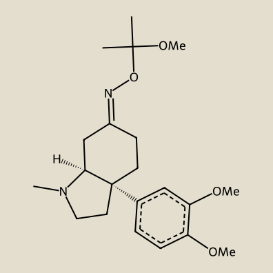 COc1ccc([C@@]23CC/C(=N\OC(C)(C)OC)C[C@@H]2N(C)CC3)cc1OC